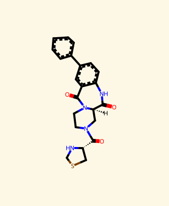 O=C1Nc2ccc(-c3ccccc3)cc2C(=O)N2CCN(C(=O)[C@@H]3CSCN3)C[C@H]12